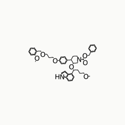 COCCCC(OC1CN(C(=O)OCc2ccccc2)CCC1c1ccc(OCCCOCc2ccccc2OC)cc1)c1cccc2[nH]ccc12